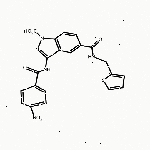 O=C(NCc1cccs1)c1ccc2c(c1)c(NC(=O)c1ccc([N+](=O)[O-])cc1)nn2C(=O)O